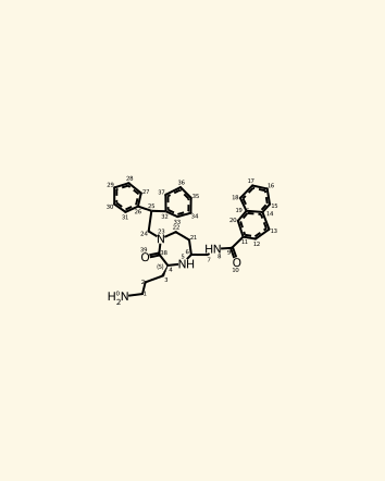 NCCC[C@@H]1NC(CNC(=O)c2ccc3ccccc3c2)CCN(CC(c2ccccc2)c2ccccc2)C1=O